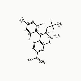 C=C(C)c1ccc2c(c1)C[C@@H](C)N(CC(C)(F)F)C2c1c(F)cc(C)cc1F